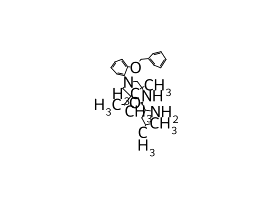 CC(C)CCN(CC(C)(C)NC(=O)C(N)CC(C)C)c1ccccc1OCc1ccccc1